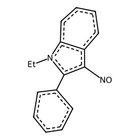 CCn1c(-c2ccccc2)c(N=O)c2ccccc21